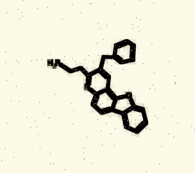 PCCc1nc2ccc3c4ccccc4oc3c2cc1Cc1ccccc1